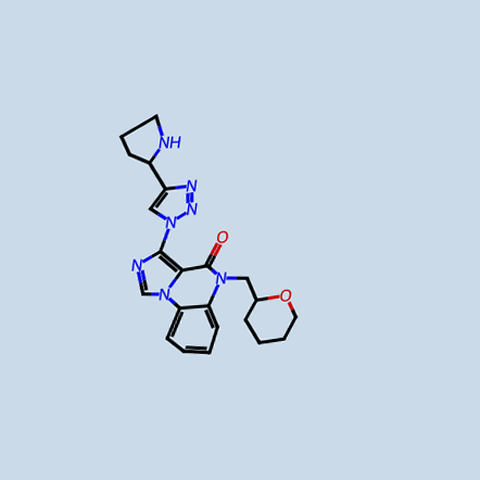 O=c1c2c(-n3cc(C4CCCN4)nn3)ncn2c2ccccc2n1CC1CCCCO1